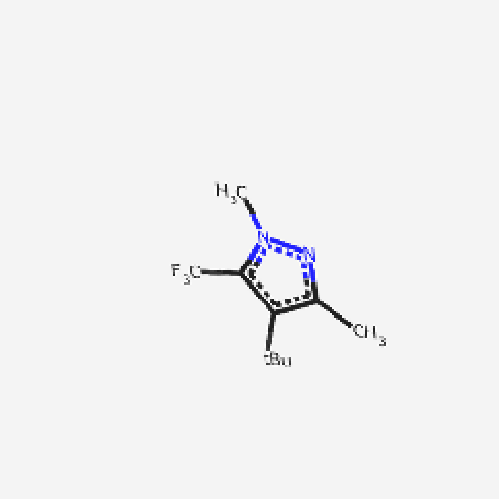 Cc1nn(C)c(C(F)(F)F)c1C(C)(C)C